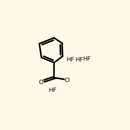 F.F.F.F.O=C(Cl)c1ccccc1